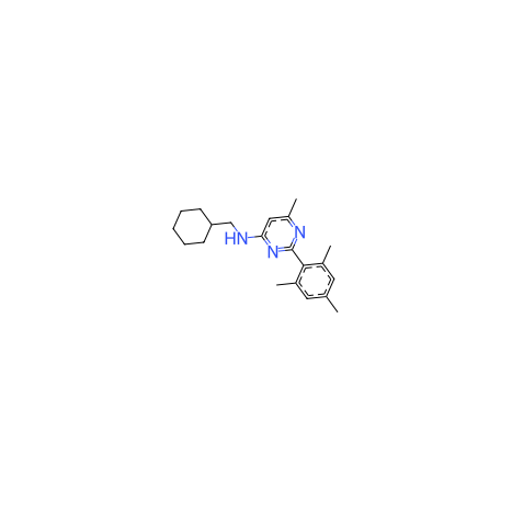 Cc1cc(C)c(-c2nc(C)cc(NCC3CCCCC3)n2)c(C)c1